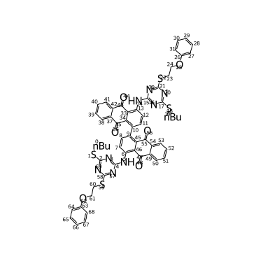 CCCCSc1nc(Nc2ccc(-c3ccc(Nc4nc(SCCCC)nc(SCCOc5ccccc5)n4)c4c3C(=O)c3ccccc3C4=O)c3c2C(=O)c2ccccc2C3=O)nc(SCCOc2ccccc2)n1